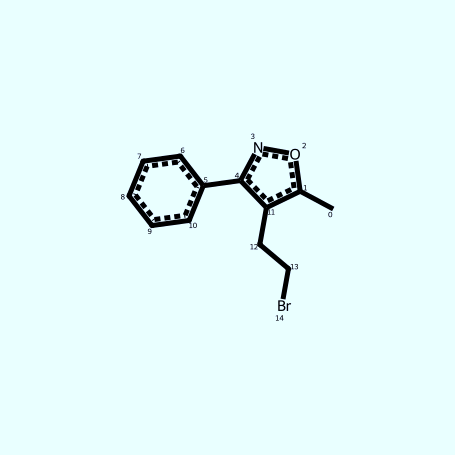 Cc1onc(-c2ccccc2)c1CCBr